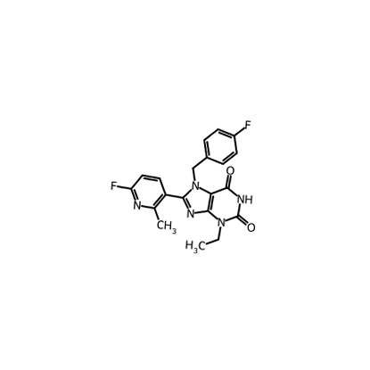 CCn1c(=O)[nH]c(=O)c2c1nc(-c1ccc(F)nc1C)n2Cc1ccc(F)cc1